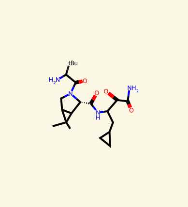 CC(C)(C)C(N)C(=O)N1CC2C([C@H]1C(=O)NC(CC1CC1)C(=O)C(N)=O)C2(C)C